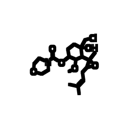 COC1C(OC(=O)N2CCOCC2)CCC(O)(CCl)C1C1(C)OC1CC=C(C)C